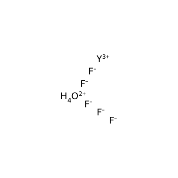 [F-].[F-].[F-].[F-].[F-].[OH4+2].[Y+3]